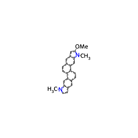 COc1cc2cc3ccc4c5cc6c(ccn6C)cc5ccc4c3cc2n1C